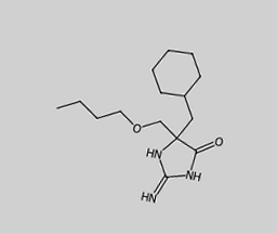 CCCCOCC1(CC2CCCCC2)NC(=N)NC1=O